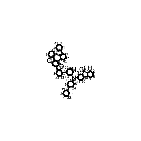 CC1(C)c2ccccc2-c2ccc(N(c3ccc(-c4ccccc4)cc3)c3cccc(-c4cccc5c4oc4c(-c6cccc7c6sc6ccccc67)c6c(cc45)oc4ccccc46)c3)cc21